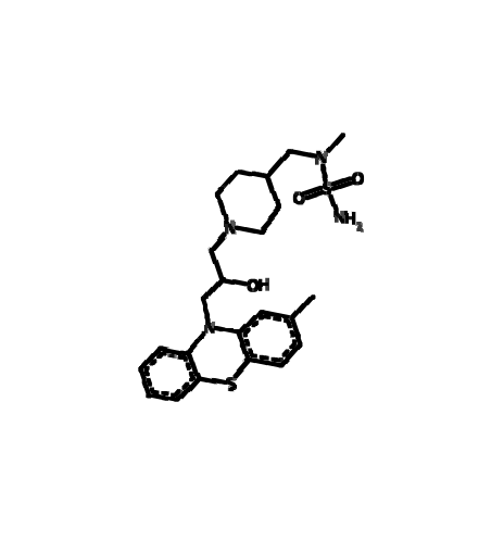 Cc1ccc2c(c1)N(CC(O)CN1CCC(CN(C)S(N)(=O)=O)CC1)c1ccccc1S2